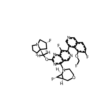 [2H]C([2H])(Oc1nc(N2CCOC[C@H]3[C@H](F)[C@H]32)c2cnc(-c3cncc4ccc(F)c(OCF)c34)c(F)c2n1)[C@@]12CCCN1C[C@H](F)C2